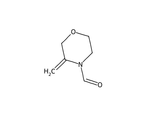 C=C1COCCN1C=O